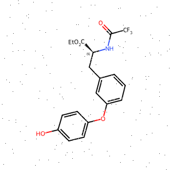 CCOC(=O)[C@H](Cc1cccc(Oc2ccc(O)cc2)c1)NC(=O)C(F)(F)F